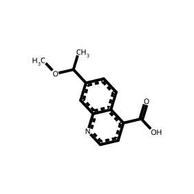 COC(C)c1ccc2c(C(=O)O)ccnc2c1